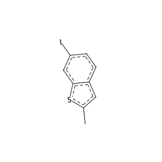 Cc1cc2ccc(I)cc2s1